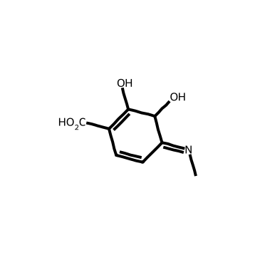 CN=C1C=CC(C(=O)O)=C(O)C1O